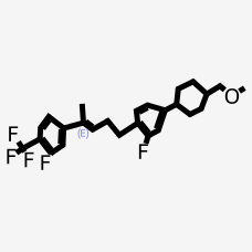 COCC1CCC(c2ccc(CC/C=C(\C)c3ccc(C(F)(F)F)c(F)c3)c(F)c2)CC1